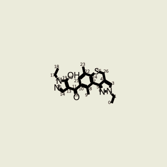 CCn1cc2c(n1)-c1c(C)c(C(=O)c3cnn(CC)c3O)cc(C)c1SC2